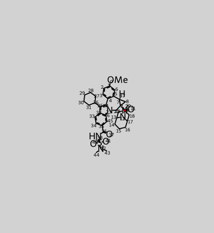 COc1ccc2c(c1)[C@@H]1C[C@]1(C(=O)N1C3CCCC1CN(C)C3)Cn1c-2c(C2CCCCC2)c2ccc(C(=O)NS(=O)(=O)N(C)C)cc21